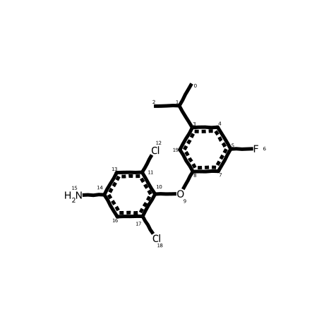 CC(C)c1cc(F)cc(Oc2c(Cl)cc(N)cc2Cl)c1